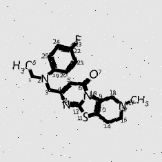 CCN(Cc1cc(=O)n2c3c(sc2n1)CCN(C)C3)c1ccc(F)cc1